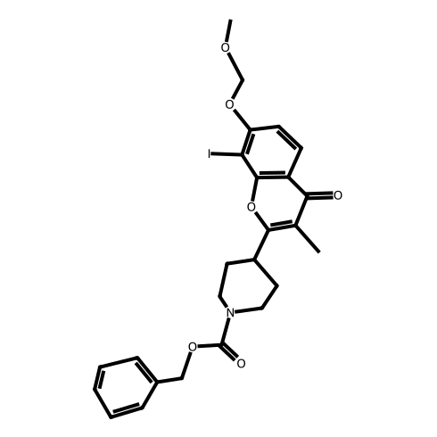 COCOc1ccc2c(=O)c(C)c(C3CCN(C(=O)OCc4ccccc4)CC3)oc2c1I